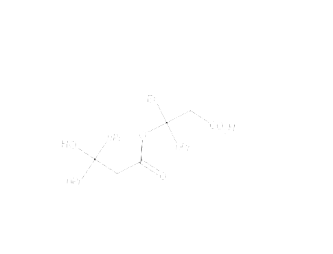 CCCC(O)(CCC)CC(=O)OC(CC)(CCC)CC(=O)O